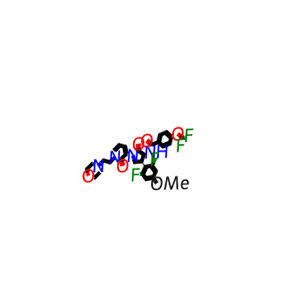 COc1cc(F)c([C@@H]2CN(c3cccn(CCN4CCOCC4)c3=O)C(=O)[C@H]2NC(=O)c2ccc(OC(F)F)cc2)c(F)c1